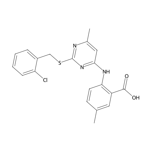 Cc1ccc(Nc2cc(C)nc(SCc3ccccc3Cl)n2)c(C(=O)O)c1